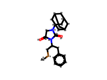 CC(=O)SCC(Cc1ccccc1)N1C(=O)CN(C23CC4CC(CC(C4)C2)C3)C1=O